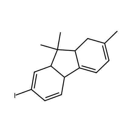 CC1=CC=C2C3C=CC(I)=CC3C(C)(C)C2C1